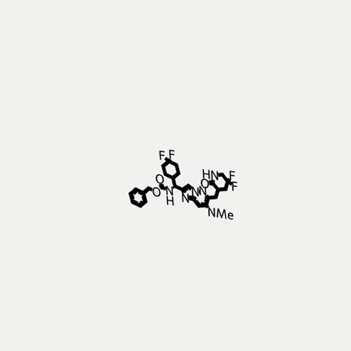 CNc1cc2nc([C@@H](NC(=O)OCc3ccccc3)C3CCC(F)(F)CC3)cn2nc1CC1CC(F)(F)CNC1=O